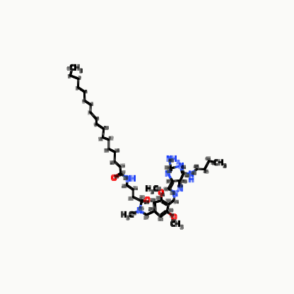 CCCCCCCCCCCCCCCCCC(=O)NCCCC(=O)N(C)Cc1cc(OC)c(Cn2cc3nc(N)nc(NCCCC)c3n2)c(OC)c1